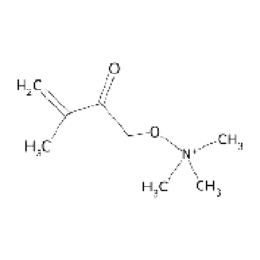 C=C(C)C(=O)CO[N+](C)(C)C